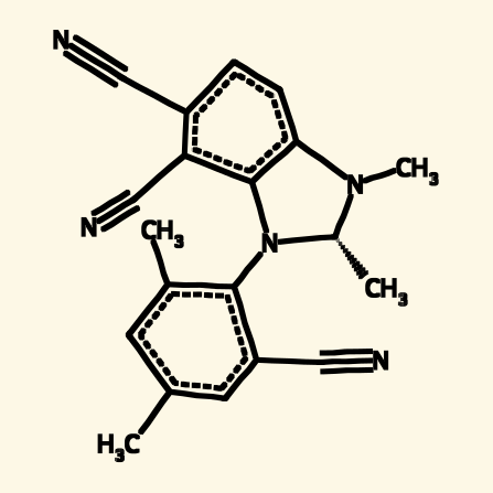 Cc1cc(C)c(N2c3c(ccc(C#N)c3C#N)N(C)[C@@H]2C)c(C#N)c1